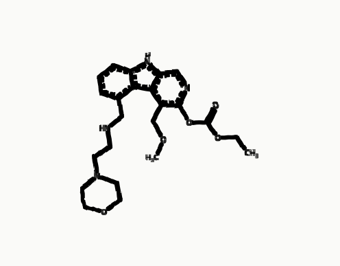 CCOC(=O)Oc1ncc2[nH]c3cccc(CNCCN4CCOCC4)c3c2c1COC